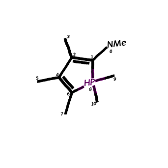 CNC1=C(C)C(C)=C(C)[PH]1(C)C